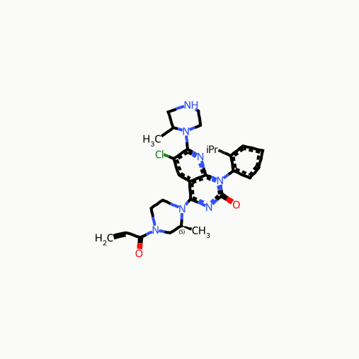 C=CC(=O)N1CCN(c2nc(=O)n(-c3ccccc3C(C)C)c3nc(N4CCNCC4C)c(Cl)cc23)[C@@H](C)C1